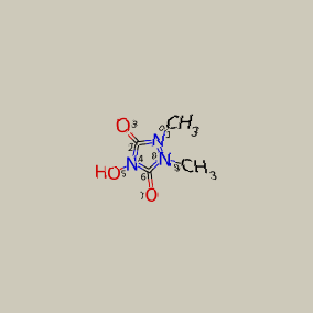 Cn1c(=O)n(O)c(=O)n1C